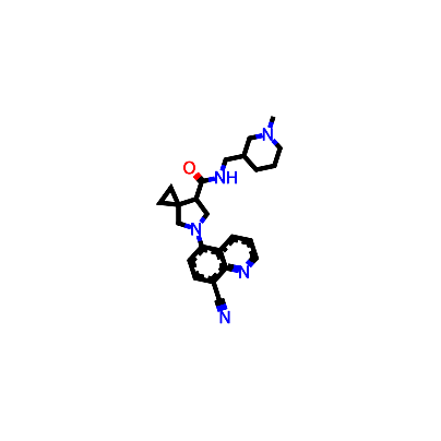 CN1CCCC(CNC(=O)C2CN(c3ccc(C#N)c4ncccc34)CC23CC3)C1